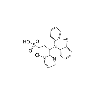 O=S(=O)(O)CCC(C1N=CC=CN1Cl)N1c2ccccc2Sc2ccccc21